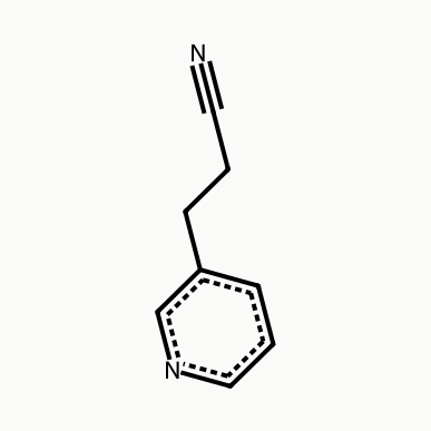 N#CCCc1cccnc1